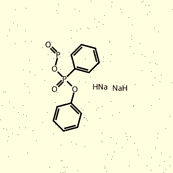 O=POP(=O)(Oc1ccccc1)c1ccccc1.[NaH].[NaH]